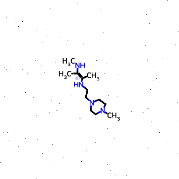 CN/C(C)=C(\C)NCCN1CCN(C)CC1